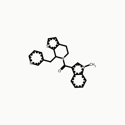 Cn1cc(C(=O)N2CCc3ccsc3C2Cc2cccnc2)c2ccccc21